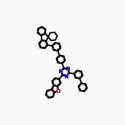 c1ccc(-c2cccc(-c3nc(-c4ccc(-c5cccc(-c6cccc7c6C6(CCCCC6)c6ccccc6-7)c5)cc4)nc(-c4ccc5c(c4)oc4ccccc45)n3)c2)cc1